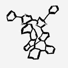 c1ccc(-c2cc(-c3cnc(-c4ccccc4)nc3)nc(-c3ccc4c(c3)C3(c5ccccc5-c5ccccc5-4)c4ccccc4-c4c3ccc3ccccc43)n2)cc1